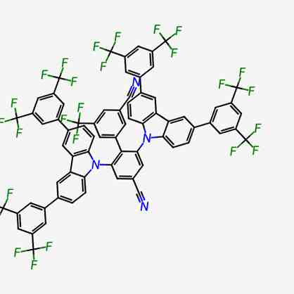 N#Cc1cc(-c2c(-n3c4ccc(-c5cc(C(F)(F)F)cc(C(F)(F)F)c5)cc4c4cc(-c5cc(C(F)(F)F)cc(C(F)(F)F)c5)ccc43)cc(C#N)cc2-n2c3ccc(-c4cc(C(F)(F)F)cc(C(F)(F)F)c4)cc3c3cc(-c4cc(C(F)(F)F)cc(C(F)(F)F)c4)ccc32)cc(C(F)(F)F)c1